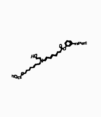 CCCCCCCCOCCCCCCCN(CCO)CCCCCCCC(=O)Oc1cccc(CCCCC)c1